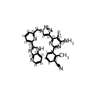 Cc1c(C#N)cccc1-c1nc(N)c(F)c(-c2cn(Cc3cccc(-c4nc5ncccc5[nH]4)n3)nn2)n1